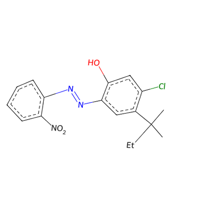 CCC(C)(C)c1cc(N=Nc2ccccc2[N+](=O)[O-])c(O)cc1Cl